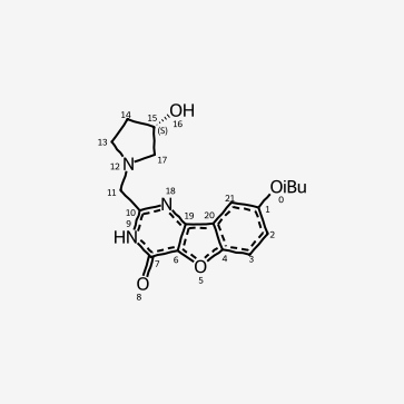 CC(C)COc1ccc2oc3c(=O)[nH]c(CN4CC[C@H](O)C4)nc3c2c1